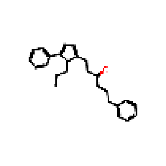 CCCC1C(CCC(=O)CCCc2ccccc2)=CC=C1c1ccccc1